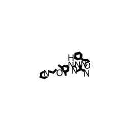 Cc1cc(Nc2ncc(C#N)c(N3OCCC3c3ccccc3)n2)cc(C)c1OCCCN1CCCCC1